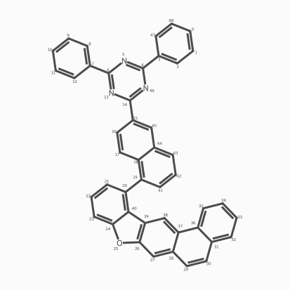 c1ccc(-c2nc(-c3ccccc3)nc(-c3ccc4c(-c5cccc6oc7cc8ccc9ccccc9c8cc7c56)cccc4c3)n2)cc1